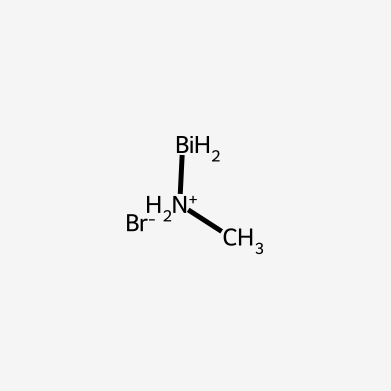 C[NH2+][BiH2].[Br-]